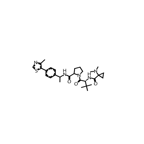 Cc1ncsc1-c1ccc(C(C)NC(=O)C2CCCN2C(=O)[C@@H](NC(=O)C2(N(C)C)CC2)C(C)(C)C)cc1